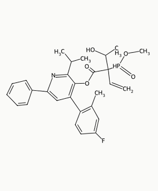 C=CC(C(=O)Oc1c(-c2ccc(F)cc2C)cc(-c2ccccc2)nc1C(C)C)(C(C)O)[PH](=O)OC